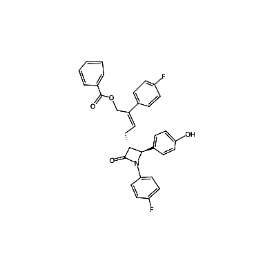 O=C(OCC(=CC[C@H]1C(=O)N(c2ccc(F)cc2)[C@@H]1c1ccc(O)cc1)c1ccc(F)cc1)c1ccccc1